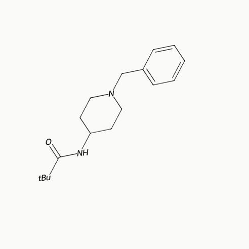 CC(C)(C)C(=O)NC1CCN(Cc2ccccc2)CC1